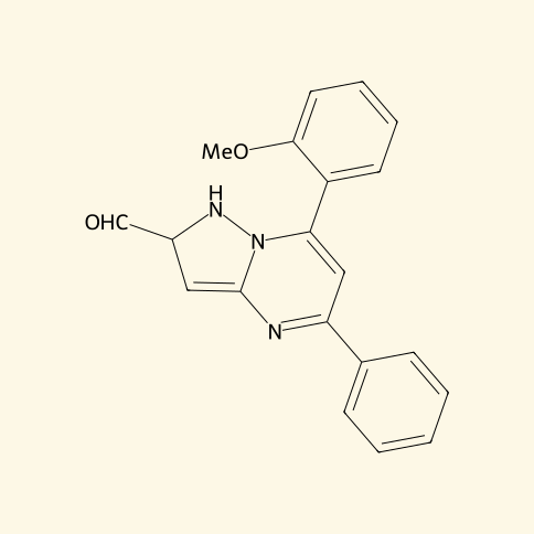 COc1ccccc1C1=CC(c2ccccc2)=NC2=CC(C=O)NN21